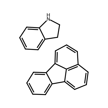 c1ccc2c(c1)-c1cccc3cccc-2c13.c1ccc2c(c1)CCN2